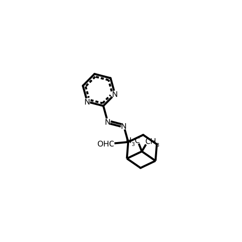 CC1(C)C2CCC(C=O)(N=Nc3ncccn3)C1C2